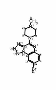 CN1CCN(c2nc3ccc(Br)cc3n3nnnc23)CC1